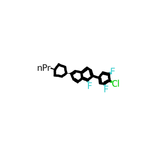 CCC[C@H]1CC[C@H](c2ccc3c(F)c(-c4cc(F)c(Cl)c(F)c4)ccc3c2)CC1